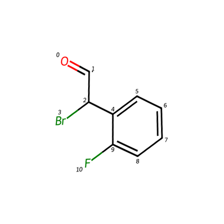 O=[C]C(Br)c1ccccc1F